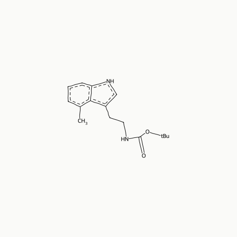 Cc1cccc2[nH]cc(CCNC(=O)OC(C)(C)C)c12